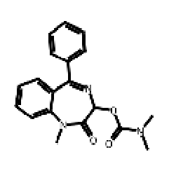 CN(C)C(=O)OC1N=C(c2ccccc2)c2ccccc2N(C)C1=O